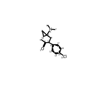 CC(=O)C(CC1(N(C)C)CC1)c1ccc(Cl)cc1